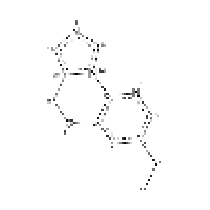 CCc1cnc2c(c1)OCc1cncn1-2